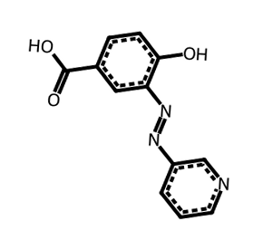 O=C(O)c1ccc(O)c(N=Nc2cccnc2)c1